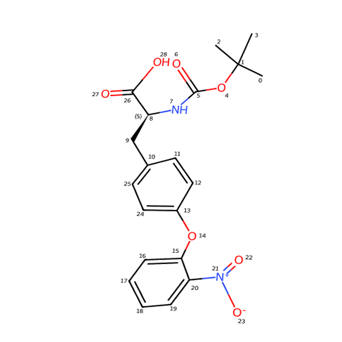 CC(C)(C)OC(=O)N[C@@H](Cc1ccc(Oc2ccccc2[N+](=O)[O-])cc1)C(=O)O